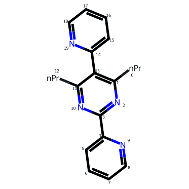 CCCc1nc(-c2ccccn2)nc(CCC)c1-c1ccccn1